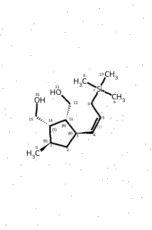 C[C@@H]1C[C@H](/C=C\C[Si](C)(C)C)[C@@H](CO)[C@H]1CO